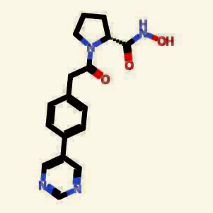 O=C(NO)[C@H]1CCCN1C(=O)Cc1ccc(-c2cncnc2)cc1